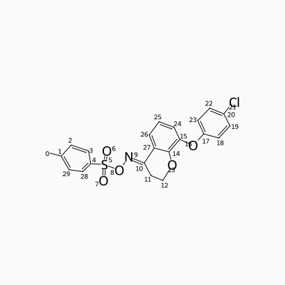 Cc1ccc(S(=O)(=O)ON=C2CCOc3c(Oc4ccc(Cl)cc4)cccc32)cc1